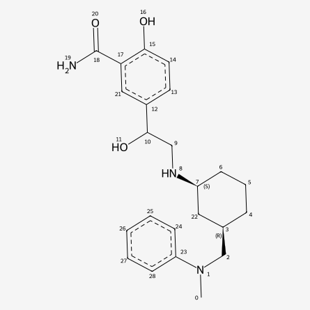 CN(C[C@@H]1CCC[C@H](NCC(O)c2ccc(O)c(C(N)=O)c2)C1)c1ccccc1